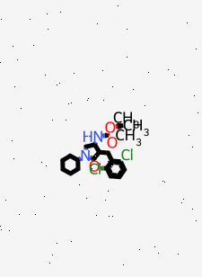 CC(C)(C)OC(=O)NC1CN(C2CCCCC2)C(=O)C1Cc1c(Cl)cccc1Cl